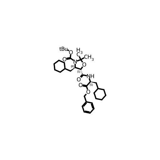 CC(C)(C)OC(=O)N1[C@H](CC2CCCCC2)[C@@H](C(=O)N[C@@H](CC2CCCCC2)C(=O)OCc2ccccc2)OC1(C)C